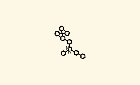 c1ccc(-c2ccc(-c3cc(-c4cccc(-c5ccc6c(c5)C5(c7ccccc7-c7ccccc75)c5ccccc5-6)c4)nc(-c4ccccc4)n3)cc2)cc1